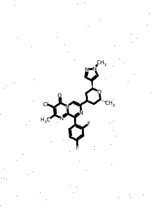 Cc1nc2c(-c3ccc(F)cc3F)nc(C3C[C@@H](C)O[C@H](c4cnn(C)c4)C3)cn2c(=O)c1Cl